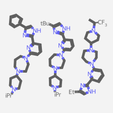 CC(C)N1CCC(N2CCCN(c3cccc(-c4nc(-c5ccccc5)c[nH]4)n3)CC2)CC1.CC(C)N1CCC(N2CCCN(c3cccc(-c4nc(C(C)(C)C)c[nH]4)n3)CC2)CC1.CCc1c[nH]c(-c2cccc(N3CCCN(C4CCN([C@@H](C)C(F)(F)F)CC4)CC3)n2)n1